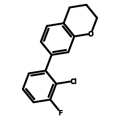 Fc1cccc(-c2ccc3c(c2)OCCC3)c1Cl